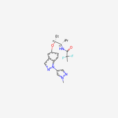 CC[C@@H](Oc1ccc2c(cnn2-c2cnn(C)c2)c1)[C@@H](NC(=O)C(C)(F)F)C(C)C